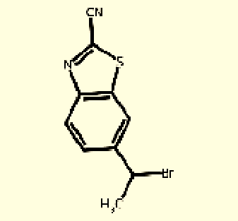 CC(Br)c1ccc2nc(C#N)sc2c1